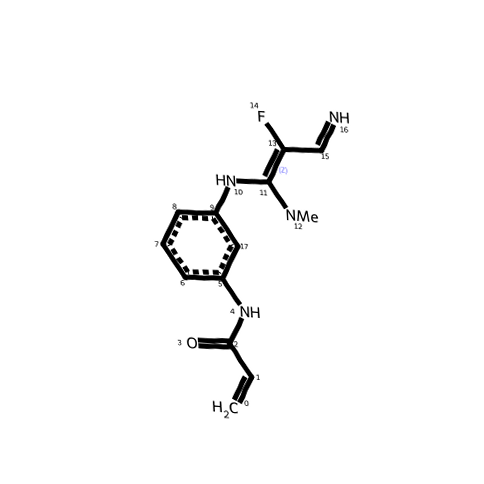 C=CC(=O)Nc1cccc(N/C(NC)=C(\F)C=N)c1